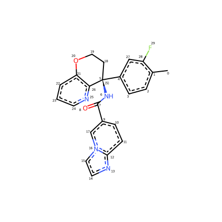 Cc1ccc([C@@]2(NC(=O)c3ccc4nccn4c3)CCOc3cccnc32)cc1F